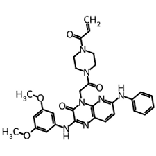 C=CC(=O)N1CCN(C(=O)Cn2c(=O)c(Nc3cc(OC)cc(OC)c3)nc3ccc(Nc4ccccc4)nc32)CC1